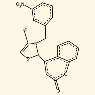 CCC1=CSC(c2cc(=O)oc3ccccc23)N1Cc1cccc([N+](=O)[O-])c1